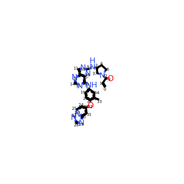 C=CC(=O)N1CC[C@H](Nc2ncc3ncnc(Nc4ccc(Oc5ccn6ncnc6c5)c(C)c4)c3n2)C1